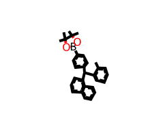 Cc1ccccc1C(c1ccc(B2OC(C)(C)C(C)(C)O2)cc1)c1cccc2ccccc12